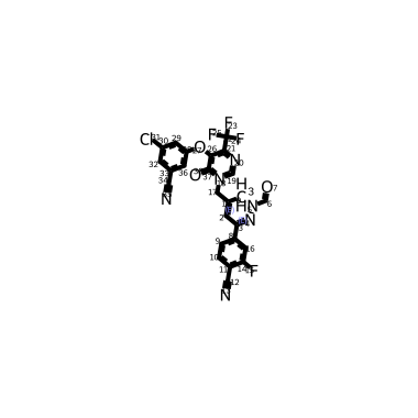 C/C(=C\C(=N/NC=O)c1ccc(C#N)c(F)c1)Cn1cnc(C(F)(F)F)c(Oc2cc(Cl)cc(C#N)c2)c1=O